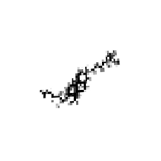 CC(C)CCC[C@@H](C)[C@H]1CC[C@H]2[C@@H]3CC=C4CC(OCCCCOS(C)(=O)=O)CC[C@]4(C)[C@H]3CC[C@]12C